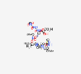 CCC1(Cn2ncc(-c3ccc(N4CCc5c(OC)ccc(C(=O)Nc6nc7ccccc7s6)c5C4)nc3C(=O)O)c2C)CC2(C)CC(C)CC(OCCN(CCOC)C(=O)OC/C=C/c3ccc(O[C@H]4C[C@@H](O)C[C@@H](C(=O)O)O4)c(NC(=O)CCNC(=O)CCN4C(=O)C=CC4=O)c3)(C2)C1